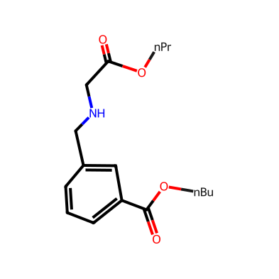 CCCCOC(=O)c1cccc(CNCC(=O)OCCC)c1